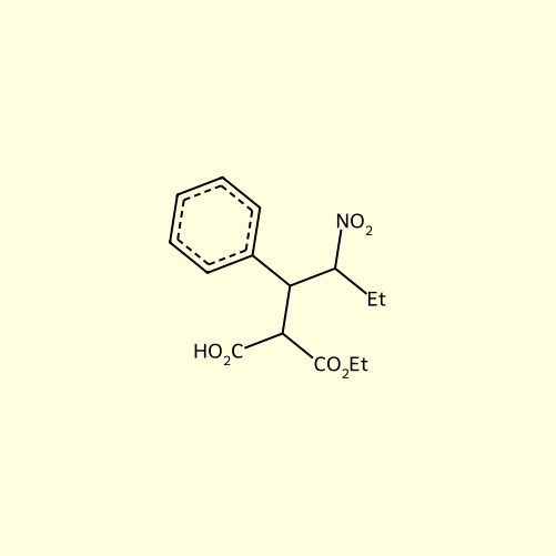 CCOC(=O)C(C(=O)O)C(c1ccccc1)C(CC)[N+](=O)[O-]